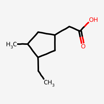 CCC1CC(CC(=O)O)CC1C